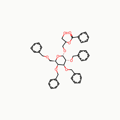 O=C(OC(CO)CO[C@H]1O[C@H](COCc2ccccc2)[C@H](OCc2ccccc2)[C@H](OCc2ccccc2)[C@H]1OCc1ccccc1)c1ccccc1